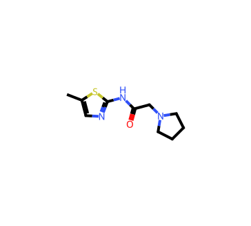 Cc1cnc(NC(=O)CN2CCCC2)s1